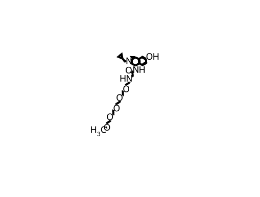 COCCOCCOCCOCCOCCNCC(=O)NC1c2ccc(O)cc2C2CC1N(CC1CC1)C2